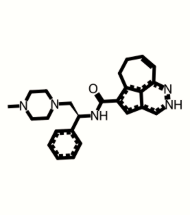 CN1CCN(C[C@@H](NC(=O)c2cc3c[nH]nc4c-3c2CCC=C4)c2ccccc2)CC1